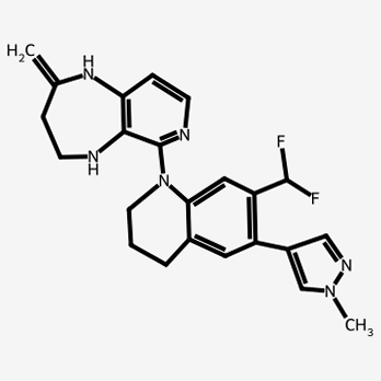 C=C1CCNc2c(ccnc2N2CCCc3cc(-c4cnn(C)c4)c(C(F)F)cc32)N1